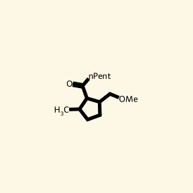 CCCCCC(=O)C1C(C)CCC1COC